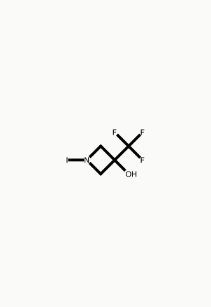 OC1(C(F)(F)F)CN(I)C1